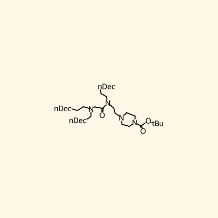 CCCCCCCCCCCCN(CCCCCCCCCCC)CC(=O)N(CCCCCCCCCCCC)CCN1CCN(C(=O)OC(C)(C)C)CC1